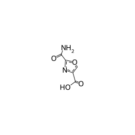 NC(=O)c1nc(C(=O)O)co1